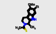 CCc1cc2[nH]c3c(c2cc1OC)CCN(C(C)=S)C3C